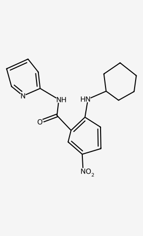 O=C(Nc1ccccn1)c1cc([N+](=O)[O-])ccc1NC1CCCCC1